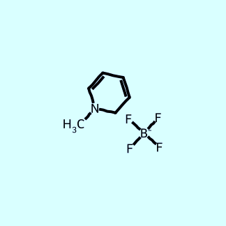 CN1C=CC=CC1.F[B-](F)(F)F